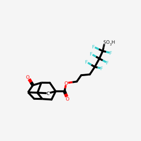 O=C1C2CC3CC1CC(C(=O)OCCCC(F)(F)C(F)(F)C(F)(F)S(=O)(=O)O)(C3)C2